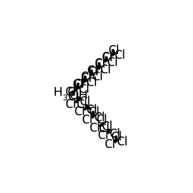 CO.ClC(Cl)Cl.ClC(Cl)Cl.ClC(Cl)Cl.ClC(Cl)Cl.ClC(Cl)Cl.ClC(Cl)Cl.ClC(Cl)Cl.ClC(Cl)Cl.ClC(Cl)Cl.ClC(Cl)Cl.ClC(Cl)Cl.ClC(Cl)Cl